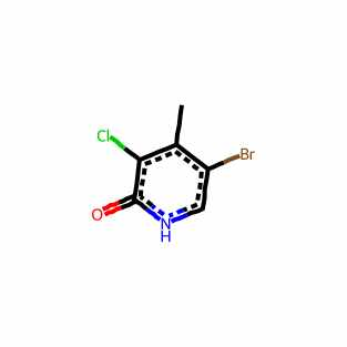 Cc1c(Br)c[nH]c(=O)c1Cl